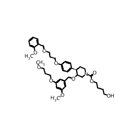 COCCCOc1cc(COC2CN(C(=O)OCCCCO)CC[C@@H]2c2ccc(OCCCOCc3ccccc3OC)cc2)cc(OC)c1